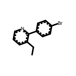 CCc1cccnc1-c1ccc(Br)cc1